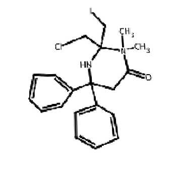 C[N+]1(C)C(=O)CC(c2ccccc2)(c2ccccc2)NC1(CCl)CI